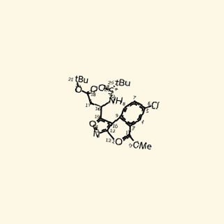 COC(=O)c1cc(Cl)ccc1-c1c(C)noc1[C@@H](CC(=O)OC(C)(C)C)N[S@@+]([O-])C(C)(C)C